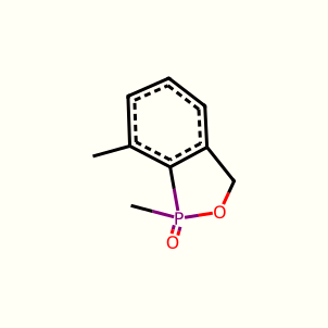 Cc1cccc2c1P(C)(=O)OC2